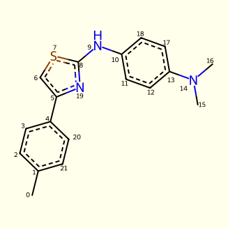 Cc1ccc(-c2csc(Nc3ccc(N(C)C)cc3)n2)cc1